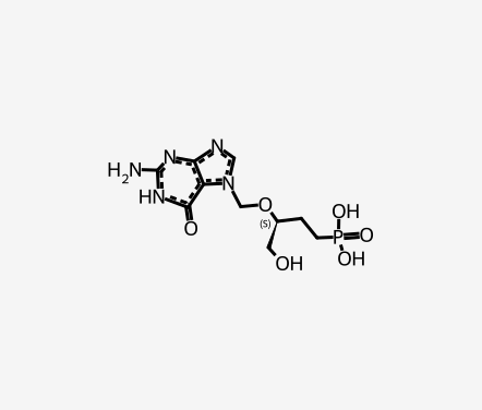 Nc1nc2ncn(CO[C@H](CO)CCP(=O)(O)O)c2c(=O)[nH]1